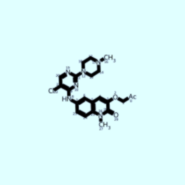 CC(=O)COc1cc2cc(Nc3nc(N4CCN(C)CC4)ncc3Cl)ccc2n(C)c1=O